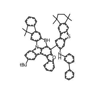 CC(C)(C)c1ccc2c(c1)c1c3c(oc4ccccc43)c(-c3cc4c(cc3Nc3cccc(-c5ccccc5)c3)sc3cc5c(cc34)C(C)(C)CCC5(C)C)c3c1n2-c1cc2c(cc1B3)-c1ccccc1C2(C)C